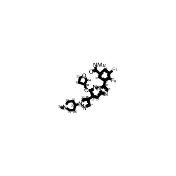 CNC(=O)c1cc(F)c(F)c(-c2cnc3cc(-c4cnn(C5CCN(C)CC5)c4)c(OC4CCOC4)nn23)c1